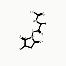 CC1CC(=O)N(OC(=O)C(C)NC(=O)C(F)(F)F)C1=O